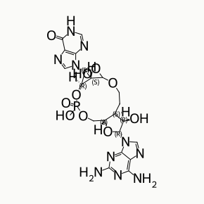 Nc1nc(N)c2ncn([C@@H]3O[C@@H]4COP(=O)(O)O[C@@H]5[C@H](O)C(OCC[C@H]4[C@H]3O)O[C@H]5n3cnc4c(=O)[nH]cnc43)c2n1